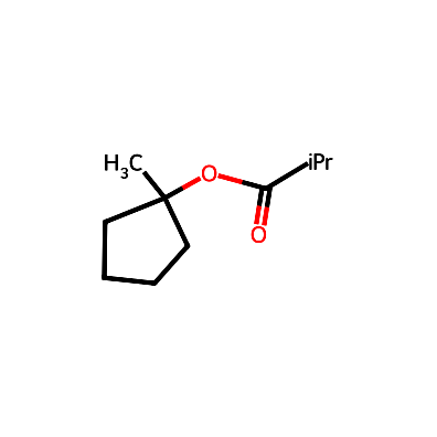 CC(C)C(=O)OC1(C)CCCC1